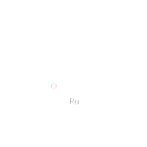 C1=Cc2ccccc2OC1.[Ru]